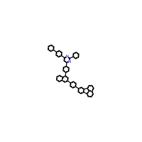 c1ccc(-c2ccc(-c3cc(-c4ccc(-c5cc(-c6ccc(-c7ccc8c(c7)-c7cccc9cccc-8c79)cc6)cc6ccccc56)cc4)nc(-c4ccccc4)n3)cc2)cc1